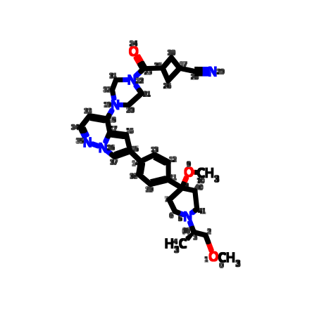 COC[C@@H](C)N1CCC(OC)(c2ccc(-c3cc4c(N5CCN(C(=O)C6CC(C#N)C6)CC5)ccnn4c3)cc2)CC1